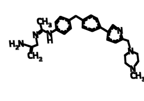 C=C(N)C/N=C(/C)Nc1ccc(Cc2ccc(-c3ccc(CN4CCN(C)CC4)nc3)cc2)cc1